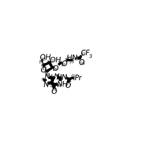 CC(C)C(=O)Nc1nc2c(ncn2[C@@H]2O[C@H](CO)[C@@H](O)[C@H]2OCOCCNC(=O)C(F)(F)F)c(=O)[nH]1